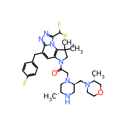 C[C@@H]1CN(CC(=O)N2CC(C)(C)c3c2cc(Cc2ccc(F)cc2)c2nnc(C(F)F)n32)[C@@H](CN2CCOC[C@H]2C)CN1